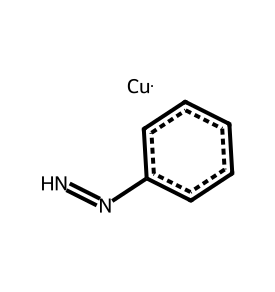 N=Nc1ccccc1.[Cu]